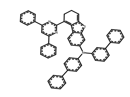 C1=c2sc3cc(N(c4ccc(-c5ccccc5)cc4)c4cccc(-c5ccccc5)c4)ccc3c2=C(c2nc(-c3ccccc3)cc(-c3ccccc3)n2)CC1